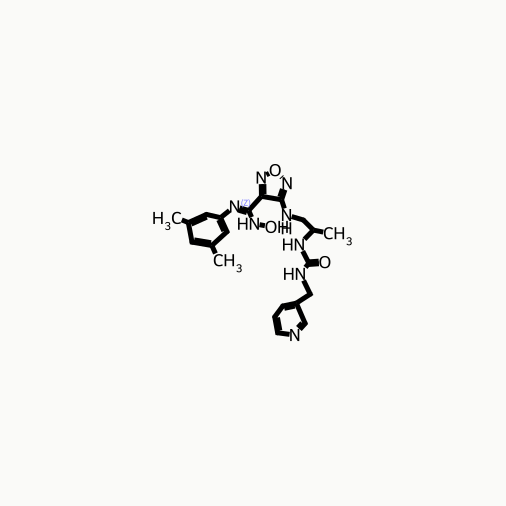 Cc1cc(C)cc(/N=C(\NO)c2nonc2NCC(C)NC(=O)NCc2cccnc2)c1